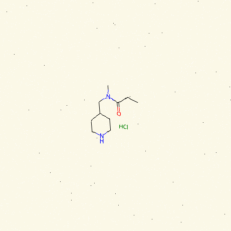 CCC(=O)N(C)CC1CCNCC1.Cl